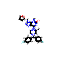 C[C@@H]1CN(c2nc(=O)n(C)c3c2nnn3C[C@@H]2CCCO2)[C@@H](C)CN1C(c1ccc(F)cc1)c1ccc(F)cc1